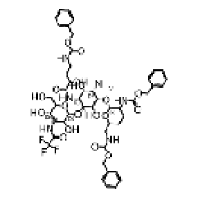 N[C@@H]1C(O[C@H]2OC(CNC(=O)OCc3ccccc3)CCC2NC(=O)OCc2ccccc2)C(O)[C@@H](O[C@H]2OC(CO)[C@@H](O)[C@H](NC(=O)C(F)(F)F)C2O)[C@H](NC(=O)[C@@H](O)CCNC(=O)OCc2ccccc2)C1O